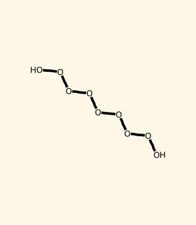 OOOOOOOOO